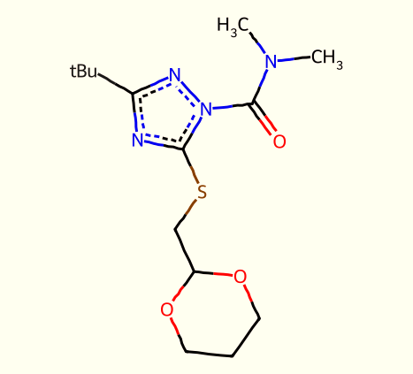 CN(C)C(=O)n1nc(C(C)(C)C)nc1SCC1OCCCO1